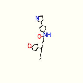 CCCCC(=CC=CC(=O)Nc1ccc(-c2cccnc2)cc1)c1ccc(OC)cc1